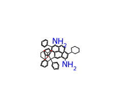 Nc1cc(C2CCCCC2)c2ccc3c(N)c(-c4ccccc4)c(C4CCCCC4)c4c(C5(c6ccccc6)c6ccccc6-c6ccccc65)cc1c2c34